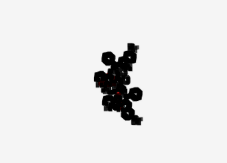 COc1nc2ccc(Br)cc2cc1C(c1ccccc1)N(Cc1cccc2ncccc12)CC(C(=O)C(CN(Cc1cccc2ncccc12)C(c1ccccc1)c1cc2cc(Br)ccc2nc1OC)N1CCN(C)CC1)N1CCN(C)CC1